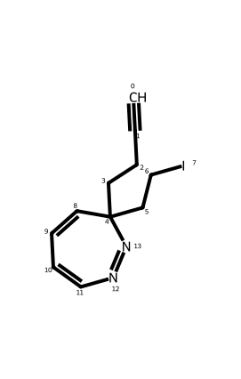 C#CCCC1(CCI)C=CC=CN=N1